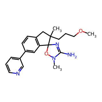 COCCCC1(C)Cc2ccc(-c3cccnc3)cc2C12N=C(N)N(C)O2